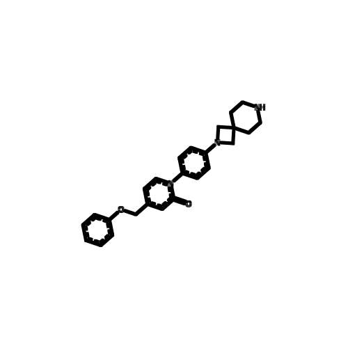 O=c1cc(COc2ccccc2)ccn1-c1ccc(N2CC3(CCNCC3)C2)cc1